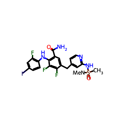 CN[SH](C)(=O)Nc1cc(Cc2cc(C(N)=O)c(Nc3ccc(I)cc3F)c(F)c2F)ccn1